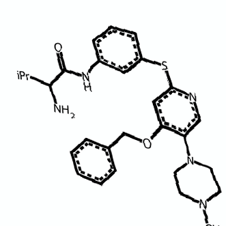 CC(C)C(N)C(=O)Nc1cccc(Sc2cc(OCc3ccccc3)c(N3CCN(C)CC3)cn2)c1